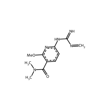 C=NC(=N)Nc1ccc(C(=O)N(C)C)c(OC)n1